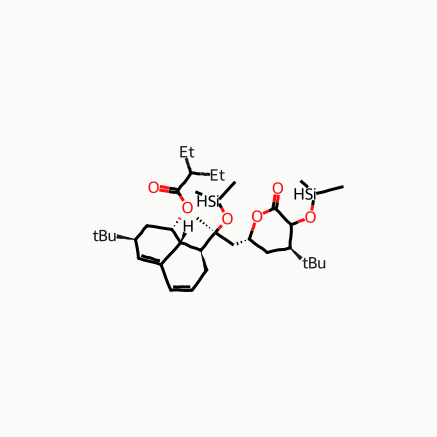 CCC(CC)C(=O)O[C@H]1C[C@H](C(C)(C)C)C=C2C=CC[C@H]([C@](C)(C[C@H]3C[C@H](C(C)(C)C)C(O[SiH](C)C)C(=O)O3)O[SiH](C)C)[C@H]21